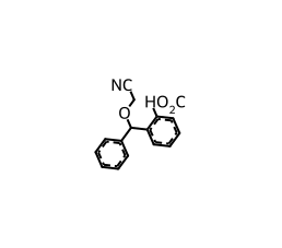 N#CCOC(c1ccccc1)c1ccccc1C(=O)O